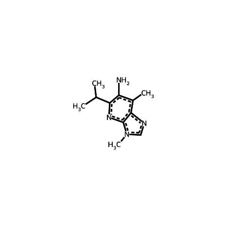 Cc1c(N)c(C(C)C)nc2c1ncn2C